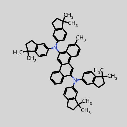 Cc1ccc2c(c1)c(N(c1ccc3c(c1)CCC3(C)C)c1ccc3c(c1)CCC3(C)C)cc1c3ccccc3c(N(c3ccc4c(c3)CCC4(C)C)c3ccc4c(c3)C(C)(C)CC4)cc21